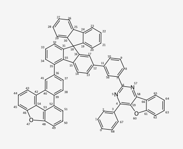 c1ccc(-c2nc(-c3cccc(-c4ccc5c(c4)C4(c6ccccc6-c6ccccc64)c4cccc(-c6ccc7c(c6)c6cccc8oc9cccc7c9c86)c4-5)c3)nc3c2oc2ccccc23)cc1